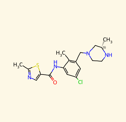 Cc1ncc(C(=O)Nc2cc(Cl)cc(CN3CCN[C@@H](C)C3)c2C)s1